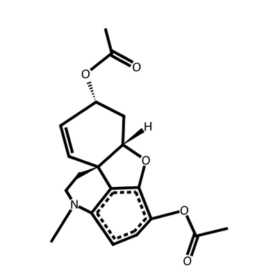 CC(=O)Oc1ccc2c3c1O[C@H]1C[C@@H](OC(C)=O)C=C[C@@]31CCN2C